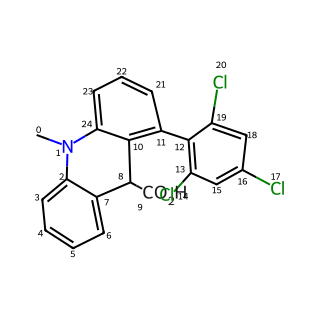 CN1c2ccccc2C(C(=O)O)c2c(-c3c(Cl)cc(Cl)cc3Cl)cccc21